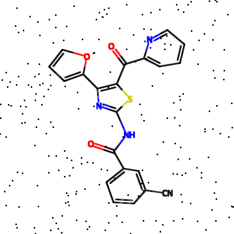 N#Cc1cccc(C(=O)Nc2nc(-c3ccco3)c(C(=O)c3ccccn3)s2)c1